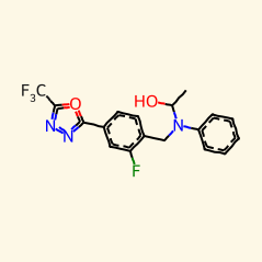 CC(O)N(Cc1ccc(-c2nnc(C(F)(F)F)o2)cc1F)c1ccccc1